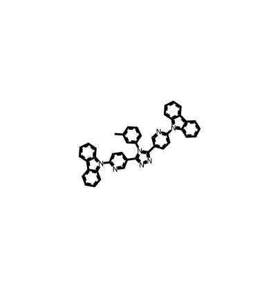 Cc1cccc(-n2c(-c3ccc(-n4c5ccccc5c5ccccc54)nc3)nnc2-c2ccc(-n3c4ccccc4c4ccccc43)nc2)c1